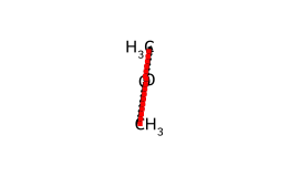 CCCCCCCCCCCCCCCCCOC(=O)CCCCCCCCCCCCC